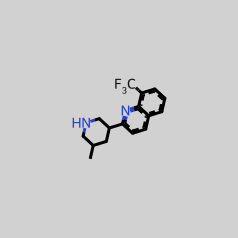 CC1CNCC(c2ccc3cccc(C(F)(F)F)c3n2)C1